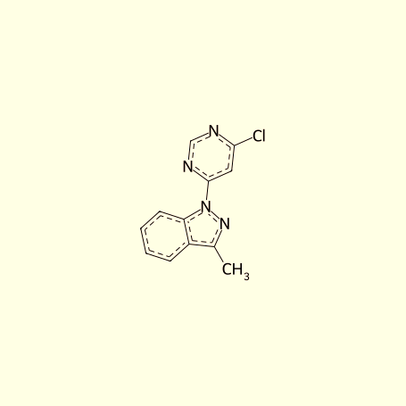 Cc1nn(-c2cc(Cl)ncn2)c2ccccc12